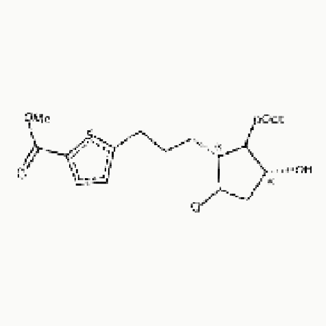 CCCCCCCCC1[C@@H](CCCc2ccc(C(=O)OC)s2)C(Cl)C[C@H]1O